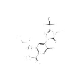 CC[S+]([O-])Nc1cc(-n2nc(C(F)(F)F)n(C)c2=O)c(F)cc1C(N)=S